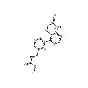 CC(C)(C)OC(=O)NCc1cccc(-c2ccnc3c2CCC(=O)N3)c1